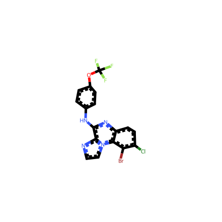 FC(F)(F)Oc1ccc(Nc2nc3ccc(Cl)c(Br)c3n3ccnc23)cc1